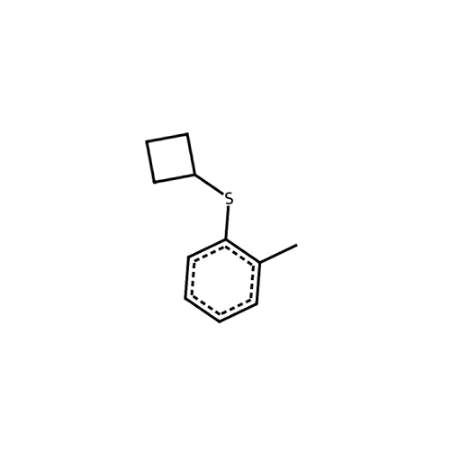 Cc1ccccc1SC1CCC1